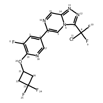 Fc1cc(-c2cn3c(C(F)(F)Cl)nnc3cn2)cnc1OC1CC(F)(F)C1